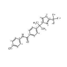 CC(C)(c1ccc(C(=O)Nc2ccc(Cl)cc2)cc1)c1noc(C(F)(F)F)n1